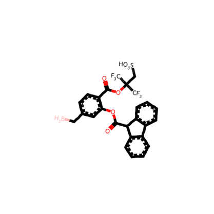 BCc1ccc(C(=O)OC(CS(=O)(=O)O)(C(F)(F)F)C(F)(F)F)c(OC(=O)C2c3ccccc3-c3ccccc32)c1